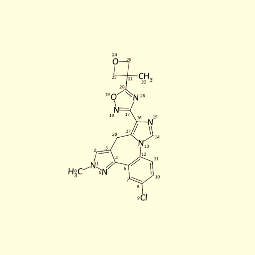 Cn1cc2c(n1)-c1cc(Cl)ccc1-n1cnc(-c3noc(C4(C)COC4)n3)c1C2